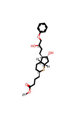 CC(C)OC(=O)CCC[C@H]1CC[C@@H]2[C@@H](CC[C@@H](O)COc3ccccc3)[C@H](O)C[C@@H]2S1